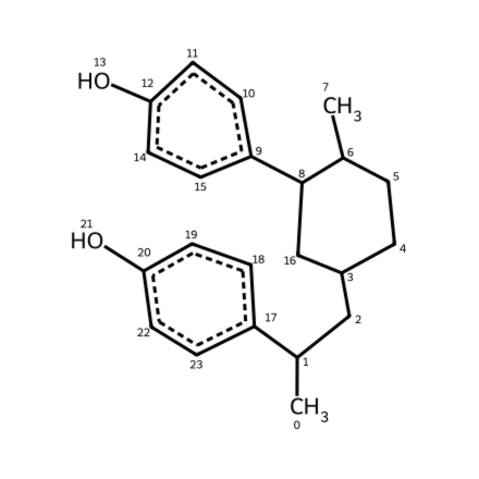 CC(CC1CCC(C)C(c2ccc(O)cc2)C1)c1ccc(O)cc1